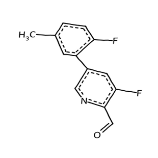 Cc1ccc(F)c(-c2cnc(C=O)c(F)c2)c1